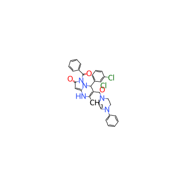 CC1=C(C(=O)N2CCN(c3ccccc3)CC2)C(c2cccc(Cl)c2Cl)n2c(cc(=O)n2C(=O)c2ccccc2)N1